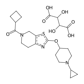 O=C(C1CCC1)N1CCc2nc(OC3CCN(C4CC4)CC3)sc2C1.O=C(O)C(O)C(O)C(=O)O